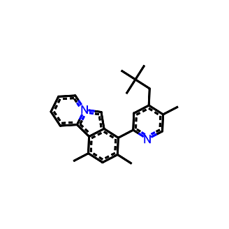 Cc1cnc(-c2c(C)cc(C)c3c2cn2ccccc32)cc1CC(C)(C)C